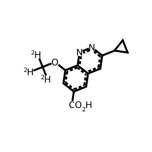 [2H]C([2H])([2H])Oc1cc(C(=O)O)cc2cc(C3CC3)nnc12